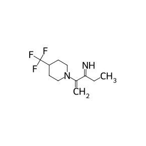 C=C(C(=N)CC)N1CCC(C(F)(F)F)CC1